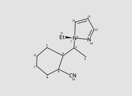 CC[N@@+]1(C(C)C2CCCCC2C#N)C=CC=N1